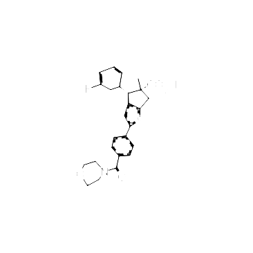 C[C@]1(C(=O)O)Cc2sc(-c3ccc(C(=O)N4CCOCC4)cc3)cc2[C@H]1C1C=CC=C(F)C1